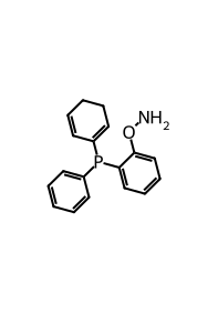 NOc1ccccc1P(C1=CCCC=C1)c1ccccc1